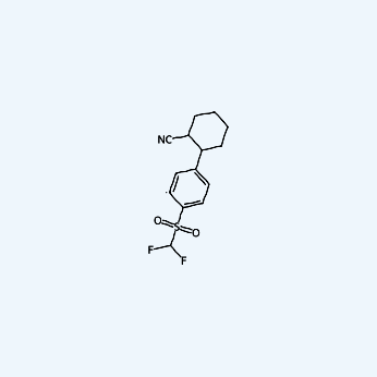 N#CC1CCCCC1c1c[c]c(S(=O)(=O)C(F)F)cc1